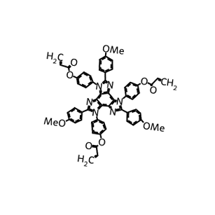 C=CC(=O)Oc1ccc(-n2c(-c3ccc(OC)cc3)nc3c2c2nc(-c4ccc(OC)cc4)n(-c4ccc(OC(=O)C=C)cc4)c2c2nc(-c4ccc(OC)cc4)n(-c4ccc(OC(=O)C=C)cc4)c32)cc1